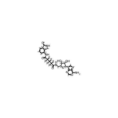 Nc1ncnc2c1ncn2C1OC(CNC(=O)C(F)(F)C(F)(F)C(F)(F)C(=O)Nc2cccc3c2CNC3=O)C(O)C1O